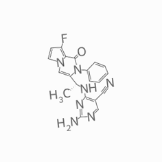 C[C@@H](Nc1nc(N)ncc1C#N)c1cn2ccc(F)c2c(=O)n1-c1ccccc1